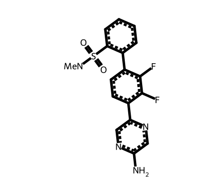 CNS(=O)(=O)c1ccccc1-c1ccc(-c2cnc(N)cn2)c(F)c1F